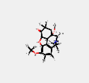 [2H]O[C@@]12CC([2H])([2H])C(=O)C3Oc4c(OC([2H])([2H])[2H])c([2H])c([2H])c5c4[C@@]31CCN(C)[C@]2([2H])C5([2H])[2H]